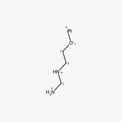 CC(C)OCCNCN